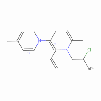 C=C/C(=C(/C)N(C)/C=C\C(=C)C)N(CC(Cl)CCC)C(=C)C